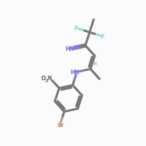 C/C(=C/C(=N)C(C)(F)F)Nc1ccc(Br)cc1[N+](=O)[O-]